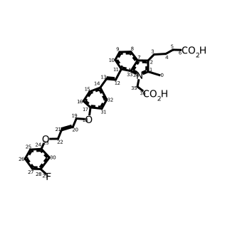 Cc1c(CCCC(=O)O)c2cccc(C=Cc3ccc(OCC=CCOc4cccc(F)c4)cc3)c2n1CC(=O)O